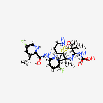 Cc1cc(F)cnc1C(=O)Nc1ccc(F)c([C@@]2(C)N=C(NC(=O)O)C(C)(C)[SH]3(=O)NCCC[C@H]23)n1